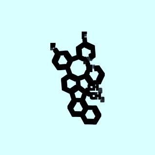 CC1(C)c2c(ccc3c2-c2cccc[n+]2-[n+]2ccc(F)cc2-c2cc(F)ccc2-3)-c2ccc3ccccc3c21